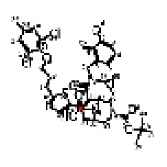 COc1cccc(CN(C(=O)C2=C(c3cnc(CCCOc4c(Cl)cc(C)cc4Cl)s3)CC3CN(C(=O)OC(C)(C)C)CC2N3C(=O)O)C2CC2)c1C